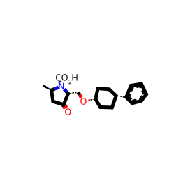 C[C@@H]1CC(=O)[C@@H](CO[C@H]2CC[C@@H](c3ccccc3)CC2)N1C(=O)O